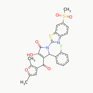 Cc1cc(C(=O)C2=C(O)C(=O)N(c3nc4ccc(S(C)(=O)=O)cc4s3)C2c2ccccc2F)c(C)o1